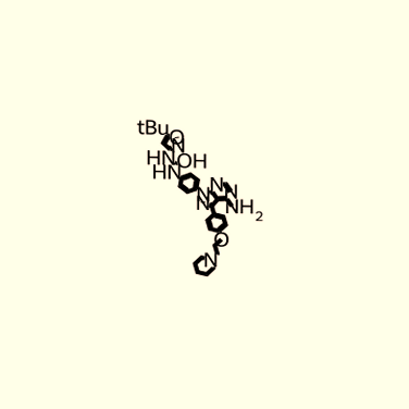 CC(C)(C)c1cc(NC(O)Nc2ccc(-n3nc(-c4ccc(OCCN5CCCCC5)cc4)c4c(N)ncnc43)cc2)no1